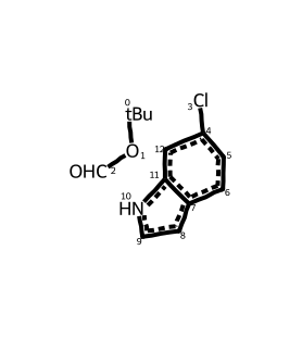 CC(C)(C)OC=O.Clc1ccc2cc[nH]c2c1